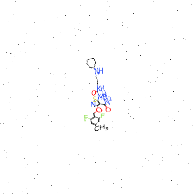 Cc1cc(F)c(COc2nsc(NC(=O)NCCCNC3CCCCC3)c2C(N)=O)c(F)c1